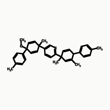 COC1(c2ccc(C)cc2)C=CC(C)(c2ccc(C3(C)C=CC(c4ccc(C)cc4)C(C)=C3)nc2)C=C1